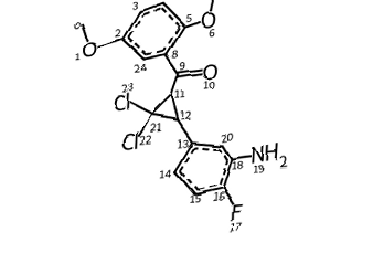 COc1ccc(OC)c(C(=O)C2C(c3ccc(F)c(N)c3)C2(Cl)Cl)c1